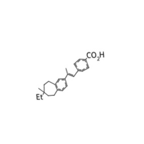 CCC1(C)CCc2ccc(/C(C)=C/c3ccc(C(=O)O)cc3)cc2CC1